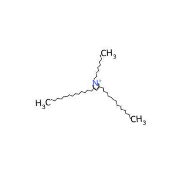 CCCCCCCCCCCCCCCc1cc(CCCCCCCCCCCCCCC)c[n+](CCCCCCCCCC)c1